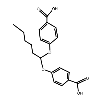 CCCCCC(Oc1ccc(C(=O)O)cc1)Oc1ccc(C(=O)O)cc1